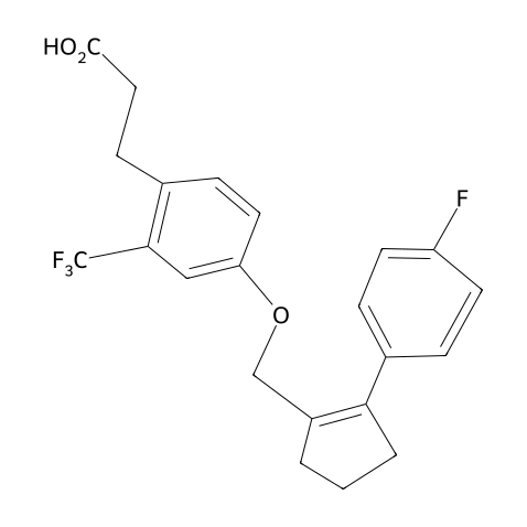 O=C(O)CCc1ccc(OCC2=C(c3ccc(F)cc3)CCC2)cc1C(F)(F)F